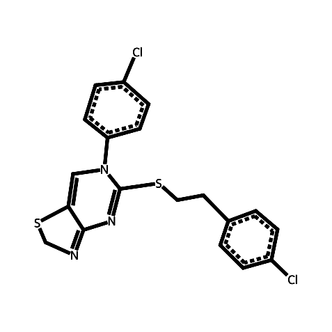 Clc1ccc(CCSC2=NC3=NCSC3=CN2c2ccc(Cl)cc2)cc1